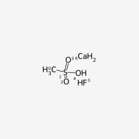 CS(=O)(=O)O.F.[CaH2]